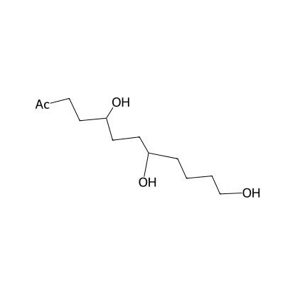 CC(=O)CCC(O)CCC(O)CCCCO